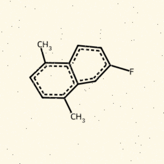 Cc1ccc(C)c2cc(F)ccc12